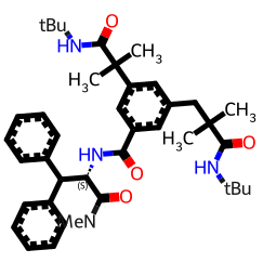 CNC(=O)[C@@H](NC(=O)c1cc(CC(C)(C)C(=O)NC(C)(C)C)cc(C(C)(C)C(=O)NC(C)(C)C)c1)C(c1ccccc1)c1ccccc1